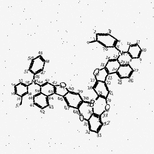 Cc1cccc(N(c2ccccc2)c2cc3oc4cc5c(cc4c3c3ccccc23)Oc2cccc3c2B5c2cc4oc5cc(N(c6ccccc6)c6cccc(C)c6)c6ccccc6c5c4cc2O3)c1